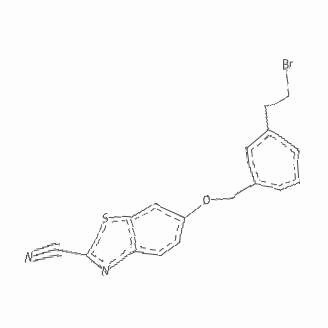 N#Cc1nc2ccc(OCc3cccc(CCBr)c3)cc2s1